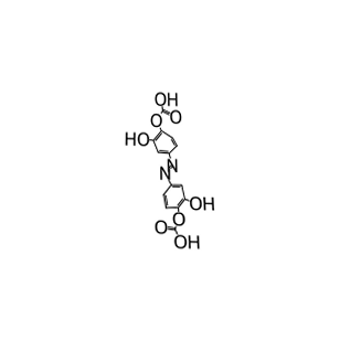 O=C(O)Oc1ccc(N=Nc2ccc(OC(=O)O)c(O)c2)cc1O